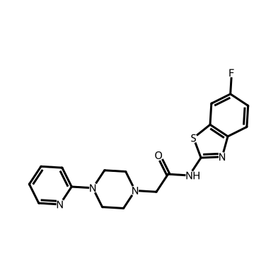 O=C(CN1CCN(c2ccccn2)CC1)Nc1nc2ccc(F)cc2s1